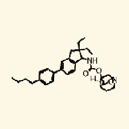 CCCCc1ccc(-c2ccc3c(c2)CC(CC)(CC)C3NC(=O)O[C@H]2CN3CCC2CC3)cc1